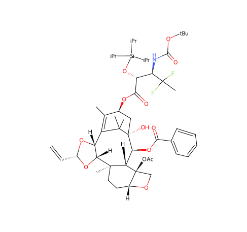 C=C[C@@H]1O[C@@H]2C3=C(C)[C@@H](OC(=O)[C@H](O[Si](C(C)C)(C(C)C)C(C)C)[C@@H](NC(=O)OC(C)(C)C)C(C)(F)F)C[C@@](O)([C@@H](OC(=O)c4ccccc4)[C@H]4[C@@](C)(CC[C@H]5OC[C@]54OC(C)=O)[C@@H]2O1)C3(C)C